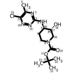 Cc1nc(N[C@@H]2CCN(C(=O)OC(C)(C)C)C[C@H]2O)nnc1Cl